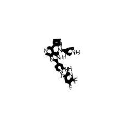 Fc1cc(F)c(Nc2cc(-c3nc(NC4C5CNC[C@H]54)c4c(C5=CC=C5)cncc4n3)ccn2)nc1F